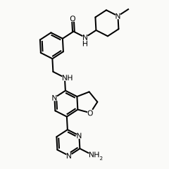 CN1CCC(NC(=O)c2cccc(CNc3ncc(-c4ccnc(N)n4)c4c3CCO4)c2)CC1